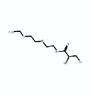 CCOCCOCCNC(=O)C(O)CO